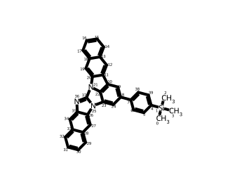 C[Si](C)(C)c1ccc(-c2cc3c4cc5ccccc5cc4n4c3c(c2)n2c3cc5ccccc5cc3nc24)cc1